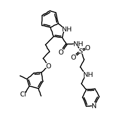 Cc1cc(OCCCc2c(C(=O)NS(=O)(=O)CCNCc3ccncc3)[nH]c3ccccc23)cc(C)c1Cl